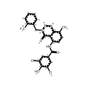 Cc1ccc(NC(=O)c2cc(Cl)c(O)c(Cl)c2)c2c(=O)n(Cc3ccccc3C(F)(F)F)nnc12